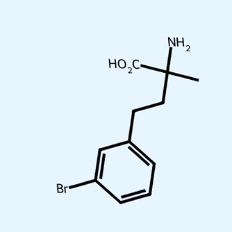 CC(N)(CCc1cccc(Br)c1)C(=O)O